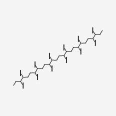 CCC(I)C(I)CCC(I)C(I)CCC(I)C(I)CCC(I)C(I)CCC(I)C(I)CCC(I)C(I)CC